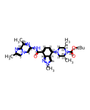 Cc1cn2cc(NC(=O)c3ccc(N4C[C@@H](C)N(C(=O)OC(C)(C)C)[C@@H](C)C4)c4cn(C)nc34)nc(C)c2n1